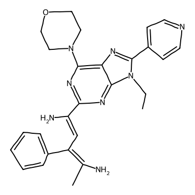 CCn1c(-c2ccncc2)nc2c(N3CCOCC3)nc(/C(N)=C/C(=C(/C)N)c3ccccc3)nc21